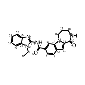 CCn1c(NC(=O)c2ccc3cc4n(c3c2)CCCNC4=O)nc2ccccc21